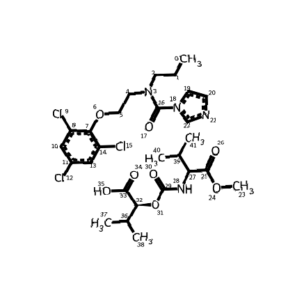 CCCN(CCOc1c(Cl)cc(Cl)cc1Cl)C(=O)n1ccnc1.COC(=O)C(NC(=O)O[C@H](C(=O)O)C(C)C)C(C)C